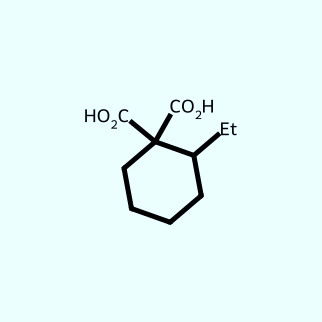 CCC1CCCCC1(C(=O)O)C(=O)O